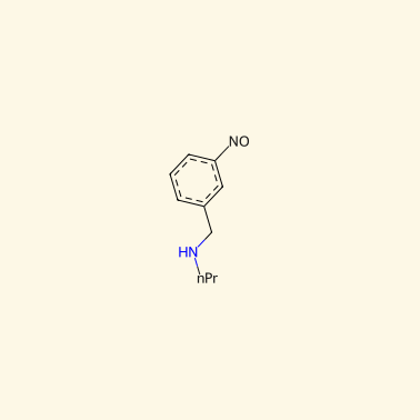 CCCNCc1cccc(N=O)c1